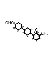 Cc1cccc(C2CCC(C3CCC(C=O)CC3)CC2)c1C